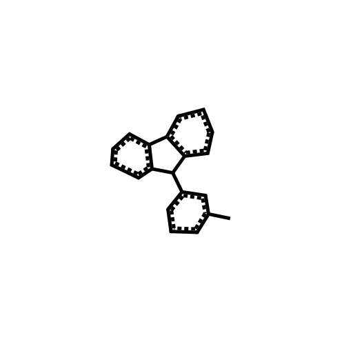 Cc1cccc(C2c3ccccc3-c3ccccc32)c1